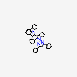 c1ccc(-c2cc(-c3ccccc3)nc(-n3c4ccccc4c4c3c3ccccc3c3c5cccc6c7ccccc7n(c65)c34)n2)cc1